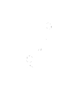 CO[C@H]1Cc2ccc(C(N)=O)cc2C(C)(C)[C@@H]1NCCC(N)C(=O)OCc1ccccc1